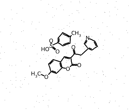 COc1ccc2cc(C(=O)Cc3cccnc3)c(=O)oc2c1.Cc1ccc(S(=O)(=O)O)cc1